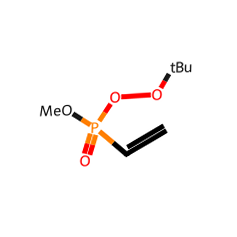 C=CP(=O)(OC)OOC(C)(C)C